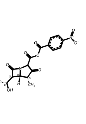 C[C@@H](O)[C@H]1C(=O)N2C(C(=O)OC(=O)c3ccc([N+](=O)[O-])cc3)C(=O)[C@H](C)[C@H]12